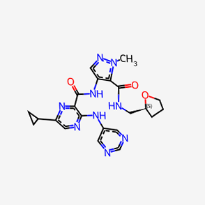 Cn1ncc(NC(=O)c2nc(C3CC3)cnc2Nc2cncnc2)c1C(=O)NC[C@@H]1CCCO1